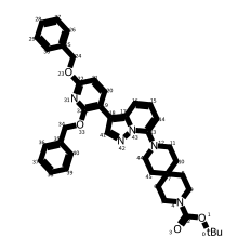 CC(C)(C)OC(=O)N1CCC2(CC1)CCN(c1cccc3c(-c4ccc(OCc5ccccc5)nc4OCc4ccccc4)cnn13)CC2